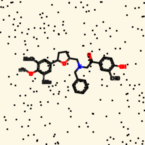 CCCOc1c(OC)cc(C2CCC(CN(CC(=O)c3ccc(O)c(C=O)c3)Cc3ccccc3)O2)cc1SC